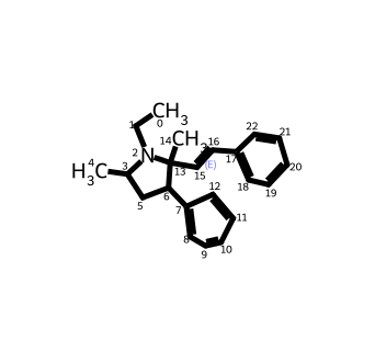 CCN1C(C)CC(c2ccccc2)C1(C)/C=C/c1ccccc1